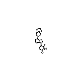 O=C1CC[C@@H](N2CCc3c(C4CCC5(CC4)OCCO5)cccc32)C(=O)N1